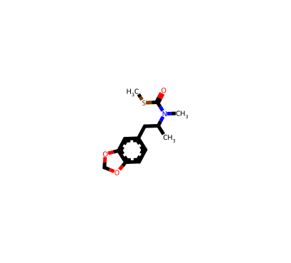 CSC(=O)N(C)C(C)Cc1ccc2c(c1)OCO2